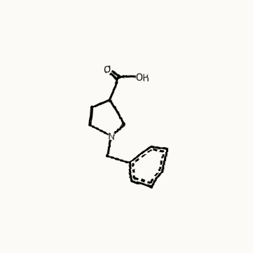 O=C(O)C1CCN(Cc2ccccc2)C1